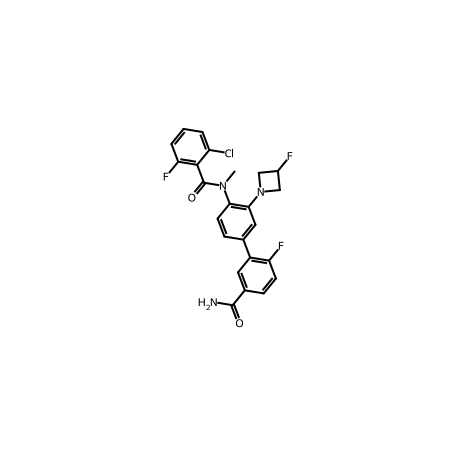 CN(C(=O)c1c(F)cccc1Cl)c1ccc(-c2cc(C(N)=O)ccc2F)cc1N1CC(F)C1